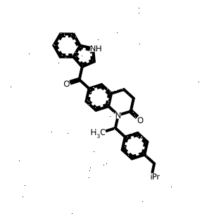 CC(C)Cc1ccc(C(C)N2C(=O)CCc3cc(C(=O)c4c[nH]c5ccccc45)ccc32)cc1